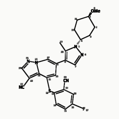 CO[C@H]1CC[C@H](n2ncc(-c3cc(Sc4ccc(F)cc4C#N)c4c(C#N)cnn4c3)c2C)CC1